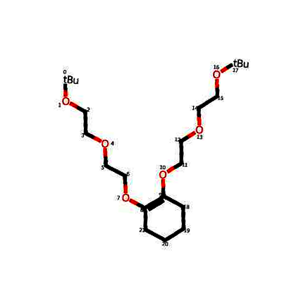 CC(C)(C)OCCOCCOC1=C(OCCOCCOC(C)(C)C)CCCC1